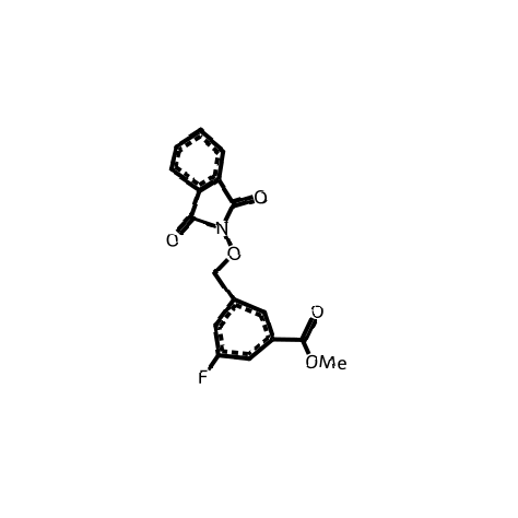 COC(=O)c1cc(F)cc(CON2C(=O)c3ccccc3C2=O)c1